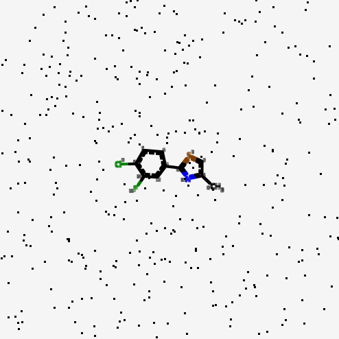 Cc1csc(-c2ccc(Cl)c(F)c2)n1